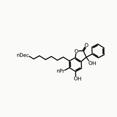 CCCCCCCCCCCCCCCCc1c(CCC)c(O)cc2c1OC(=O)C2(O)c1ccccc1